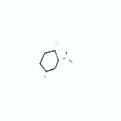 CN(C)[C@H]1C[C@@H](C(F)(F)F)CC[C@@H]1N